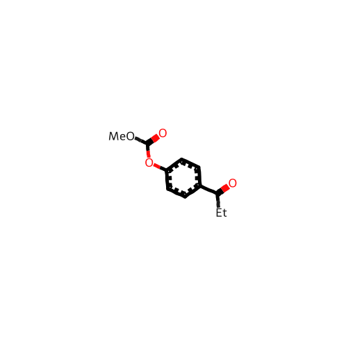 CCC(=O)c1ccc(OC(=O)OC)cc1